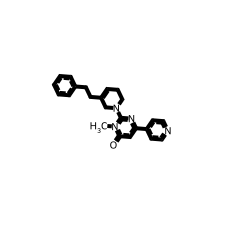 Cn1c(N2CCC=C(CCc3ccccc3)C2)nc(-c2ccncc2)cc1=O